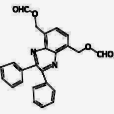 O=COCc1ccc(COC=O)c2nc(-c3ccccc3)c(-c3ccccc3)nc12